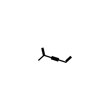 C=CC#CC(=C)C